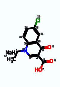 CCn1cc(C(=O)O)c(=O)c2cc(Cl)ccc21.[NaH]